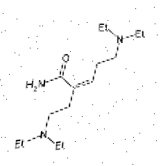 CCN(CC)CCC=C(CCN(CC)CC)C(N)=O